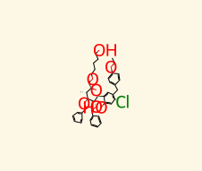 CCOc1ccc(Cc2cc([C@@H]3O[C@H](COCCCCCO)[C@@H](C)[C@H](OCc4ccccc4)[C@H]3OCc3ccccc3)c(O)cc2Cl)cc1